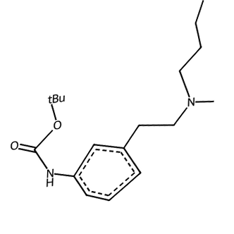 CN(CCCO)CCc1cccc(NC(=O)OC(C)(C)C)c1